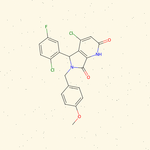 COc1ccc(CN2C(=O)c3[nH]c(=O)cc(Cl)c3C2c2cc(F)ccc2Cl)cc1